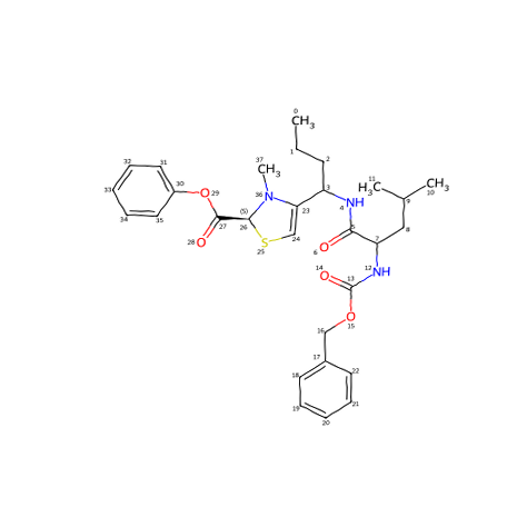 CCCC(NC(=O)C(CC(C)C)NC(=O)OCc1ccccc1)C1=CS[C@@H](C(=O)Oc2ccccc2)N1C